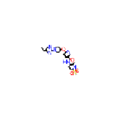 CCc1cnc(N2CCC(Oc3ccc(C(=O)Nc4ccc(S(C)(=O)=O)nc4C)cn3)CC2)nc1